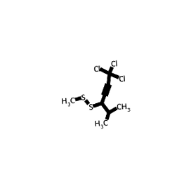 CSSC(C#CC(Cl)(Cl)Cl)C(C)C